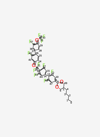 CCCCCC1COC(c2cc(F)c(-c3cc(F)c(C(F)(F)Oc4ccc(-c5ccc(OC(F)(F)F)c(F)c5)c(F)c4)c(F)c3)c(F)c2)OC1